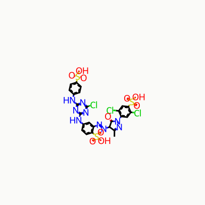 CC1=NN(c2cc(Cl)c(S(=O)(=O)O)cc2Cl)C(=O)C1N=Nc1cc(Nc2nc(Cl)nc(Nc3ccc(S(=O)(=O)O)cc3)n2)ccc1S(=O)(=O)O